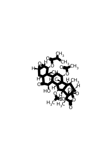 CC(=O)O[C@H]1[C@@H]2[C@H]([C@H](C)[C@H]3O[C@]34OC(=O)[C@@](C)(O)[C@]24C)[C@@]2(C)[C@@H](OC(C)=O)CC3C([C@H]12)[C@@H](O)C(=O)[C@H]1C[C@@H]2O[C@@H]2[C@H](OC(=O)C(C)C)[C@]31C